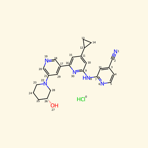 Cl.N#Cc1ccnc(Nc2cc(C3CC3)cc(-c3cncc(N4CCC[C@@H](O)C4)c3)n2)c1